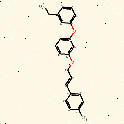 O=C(O)Cc1cccc(Oc2cccc(OC/C=C/c3ccc(C(F)(F)F)cc3)c2)c1